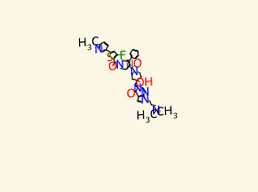 Cc1ccc(-c2cc(F)c(C(=O)N3CC[C@@H](C(=O)N4CCC(O)(Cn5cnc6c(ccn6CCCN(C)C)c5=O)CC4)[C@H](c4ccccc4)C3)s2)cn1